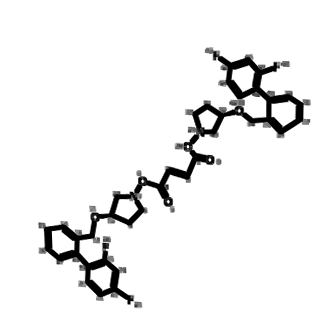 O=C(/C=C/C(=O)ON1CC[C@@H](OCc2ccccc2-c2ccc(F)cc2F)C1)ON1CC[C@@H](OCc2ccccc2-c2ccc(F)cc2F)C1